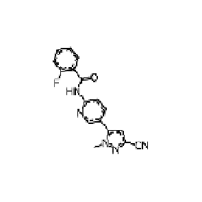 Cn1nc(C#N)cc1-c1ccc(NC(=O)c2ccccc2F)nc1